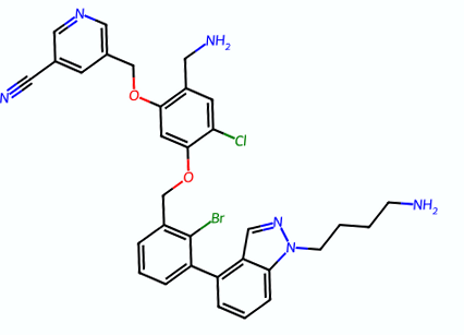 N#Cc1cncc(COc2cc(OCc3cccc(-c4cccc5c4cnn5CCCCN)c3Br)c(Cl)cc2CN)c1